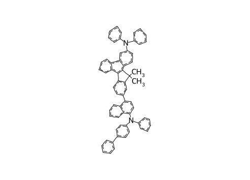 CC1(C)c2cc(-c3ccc(N(c4ccccc4)c4ccc(-c5ccccc5)cc4)c4ccccc34)ccc2-c2c1c1ccc(N(c3ccccc3)c3ccccc3)cc1c1ccccc21